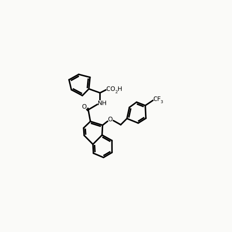 O=C(NC(C(=O)O)c1ccccc1)c1ccc2ccccc2c1OCc1ccc(C(F)(F)F)cc1